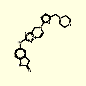 O=C1Cc2cc(Nc3nc4n(n3)C=CN(c3ccc(CN5CCOCC5)s3)C4)ccc2N1